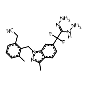 Cc1cccc(CC#N)c1Cn1nc(C)c2ccc(C(F)(F)/C(=N/N)NN)cc21